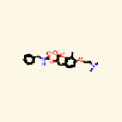 Cc1c(OCCN(C)C)ccc2cc(OC(=O)NCc3ccccc3)c(=O)oc12